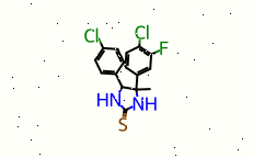 CC1(c2ccc(Cl)c(F)c2)NC(=S)NC1c1ccc(Cl)cc1